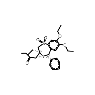 CCOc1cc2c(cc1OCC)S(=O)(=O)C[C@](CC)(CC(=O)CC)N[C@H]2c1ccccc1